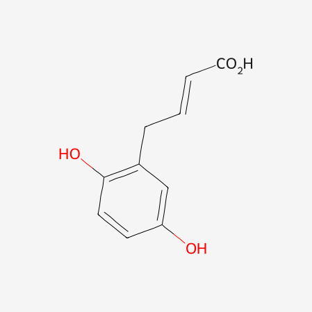 O=C(O)C=CCc1cc(O)ccc1O